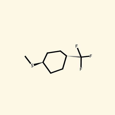 CS[C@H]1CC[C@H](C(F)(F)F)CC1